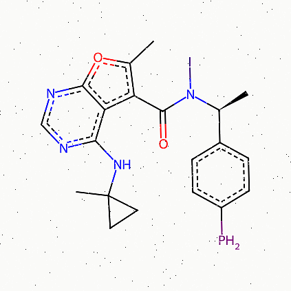 Cc1oc2ncnc(NC3(C)CC3)c2c1C(=O)N(I)[C@@H](C)c1ccc(P)cc1